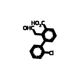 O=CCc1c(C(=O)O)cccc1-c1ccccc1Cl